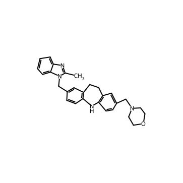 Cc1nc2ccccc2n1Cc1ccc2c(c1)CCc1cc(CN3CCOCC3)ccc1N2